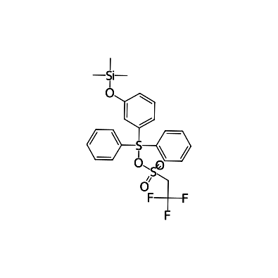 C[Si](C)(C)Oc1cccc(S(OS(=O)(=O)CC(F)(F)F)(c2ccccc2)c2ccccc2)c1